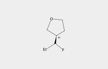 CCC(F)[C@@H]1CCOC1